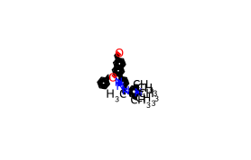 CN(c1ccc(-c2cc3ccc(C=O)cc3cc2OCc2ccccc2)nn1)C1CC(C)(C)N(C)C(C)(C)C1